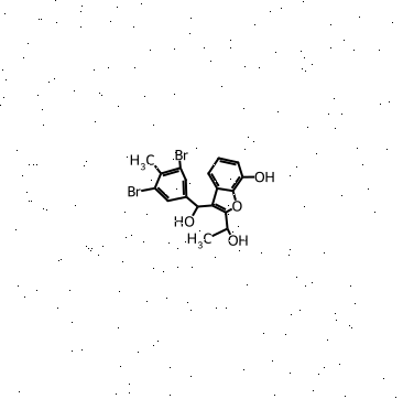 Cc1c(Br)cc(C(O)c2c(C(C)O)oc3c(O)cccc23)cc1Br